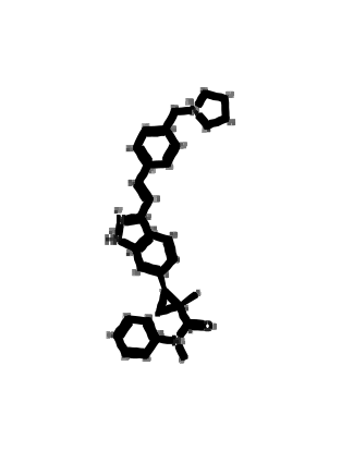 CN(C(=O)[C@]1(C)C[C@H]1c1ccc2c(/C=C/c3ccc(CN4CCCC4)cc3)n[nH]c2c1)c1ccccc1